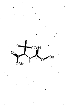 COC(=O)[C@@H](NC(=O)OC(C)(C)C)C(C)(C)C(=O)O